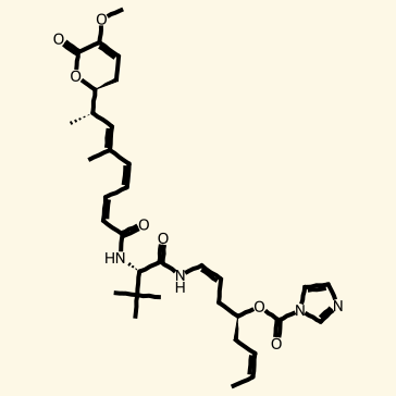 C/C=C\C[C@@H](C/C=C\NC(=O)[C@@H](NC(=O)\C=C/C=C\C(C)=C\[C@H](C)[C@@H]1CC=C(OC)C(=O)O1)C(C)(C)C)OC(=O)n1ccnc1